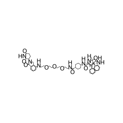 CC1(C)N[C@@H](C(=O)N[C@H]2CC[C@H](C(=O)NCCOCCOCCOCCNc3cccc4c3CN(C3CCC(=O)NC3=O)C4=O)CC2)[C@H](c2ccccc2)[C@@]12c1ccccc1NC2O